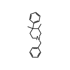 CC1CN(Cc2ccccc2)CCC1(C)c1ccccc1